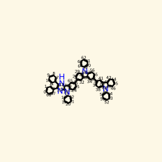 c1ccc(C2=C(c3ccccc3)NC3C(=N2)N(c2ccccc2)c2ccc(-c4ccc5c(c4)c4cc(-c6ccc7c(c6)c6ccccc6n7-c6ccccc6)ccc4n5-c4ccccc4)cc23)cc1